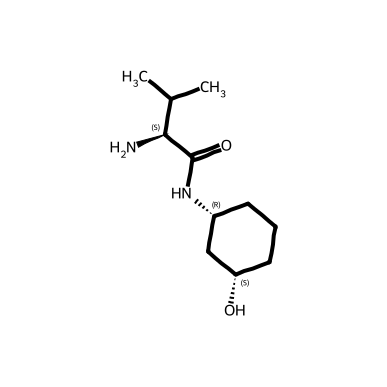 CC(C)[C@H](N)C(=O)N[C@@H]1CCC[C@H](O)C1